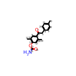 Cc1ccc(CC(=O)c2cc(C)c(OC(N)=O)cc2C)cc1